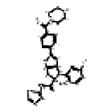 C[C@]1(C(=O)Nc2nncs2)Cc2sc(-c3ccc(C(=O)N4CCOCC4)cc3)cc2[C@H]1c1cccc(F)c1